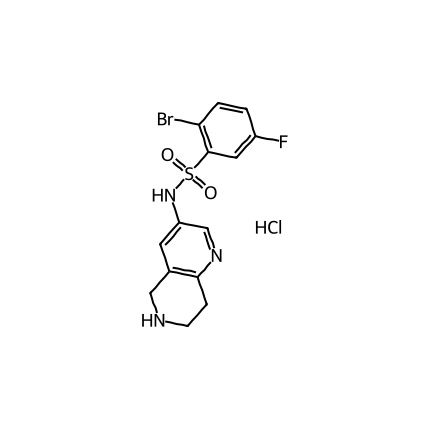 Cl.O=S(=O)(Nc1cnc2c(c1)CNCC2)c1cc(F)ccc1Br